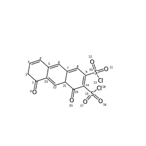 O=C1CC=CC2=CC3=CC(S(=O)(=O)Cl)=C(S(=O)(=O)Cl)C(=O)C3C=C12